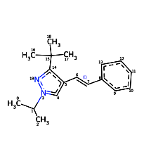 CC(C)n1cc(/C=C/c2ccccc2)c(C(C)(C)C)n1